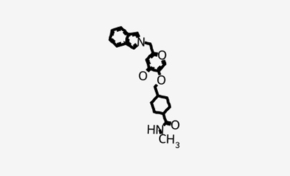 CNC(=O)C1CCC(COc2coc(Cn3cc4ccccc4c3)cc2=O)CC1